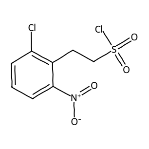 O=[N+]([O-])c1cccc(Cl)c1CCS(=O)(=O)Cl